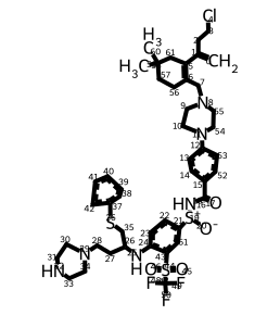 C=C(CCCl)C1=C(CN2CCN(c3ccc(C(=O)N[S+]([O-])c4ccc(NC(CCN5CCNCC5)CSc5ccccc5)c(S(=O)(=O)C(F)(F)F)c4)cc3)CC2)CCC(C)(C)C1